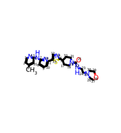 Cc1ccnc(Nc2cccc(-c3cnc(C4CCN(C(=O)NCCN5CCOCC5)CC4)s3)n2)c1